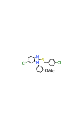 COc1cccc(-n2c(SCc3ccc(Cl)cc3)nc3ccc(Cl)cc32)c1